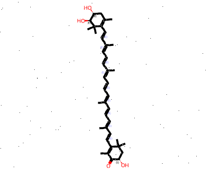 CC1=C(/C=C/C(C)=C/C=C/C(C)=C/C=C/C=C(C)/C=C/C=C(C)/C=C/C2=C(C)C(=O)[C@@H](O)CC2(C)C)C(C)(C)[C@@H](O)[C@H](O)C1